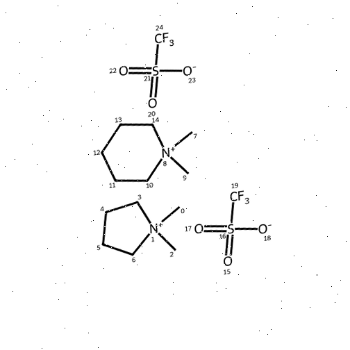 C[N+]1(C)CCCC1.C[N+]1(C)CCCCC1.O=S(=O)([O-])C(F)(F)F.O=S(=O)([O-])C(F)(F)F